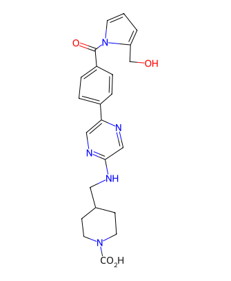 O=C(O)N1CCC(CNc2cnc(-c3ccc(C(=O)n4cccc4CO)cc3)cn2)CC1